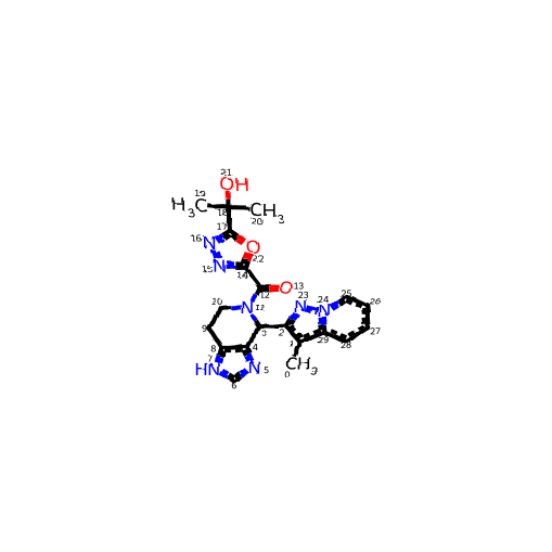 Cc1c(C2c3nc[nH]c3CCN2C(=O)c2nnc(C(C)(C)O)o2)nn2ccccc12